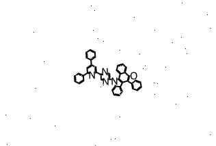 c1ccc(-c2cc(-c3ccccc3)nc(-c3cnc(-n4c5ccccc5c5c6c7ccccc7oc6c6ccccc6c54)cn3)c2)cc1